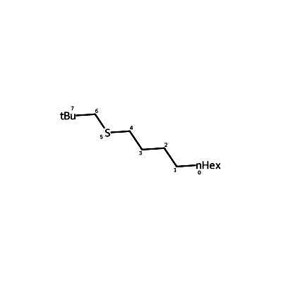 CCCCCCCCCCSCC(C)(C)C